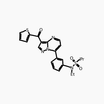 CCN(c1cccc(-c2ccnc3c(C(=O)c4cccs4)cnn23)c1)S(=O)(=O)C(C)C